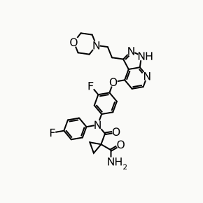 NC(=O)C1(C(=O)N(c2ccc(F)cc2)c2ccc(Oc3ccnc4[nH]nc(CCN5CCOCC5)c34)c(F)c2)CC1